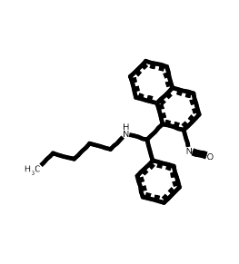 CCCCCNC(c1ccccc1)c1c(N=O)ccc2ccccc12